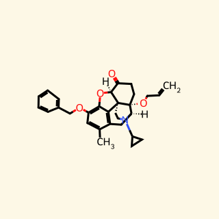 C=CCO[C@@]12CCC(=O)[C@@H]3Oc4c(OCc5ccccc5)cc(C)c5c4[C@@]31CCN(C1CC1)[C@@H]2C5